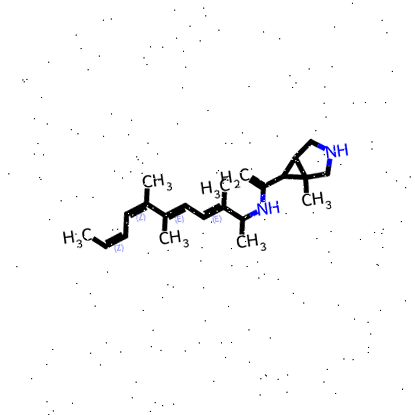 C=C(NC(C)/C(C)=C/C=C(C)/C(C)=C\C=C/C)C1C2CNCC21C